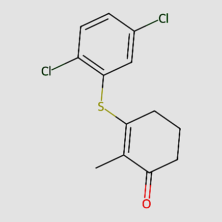 CC1=C(Sc2cc(Cl)ccc2Cl)CCCC1=O